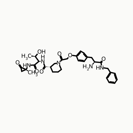 C[C@@H](O)[C@H](NC(=O)[C@H]1CCCN(C(=O)COc2ccc(C[C@H](N)C(=O)NCc3ccccc3)cc2)C1)C(=O)N[C@]1(C)CC1=O